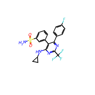 NS(=O)(=O)c1cccc(-c2c(NC3CC3)nc(C(F)(F)F)nc2-c2ccc(F)cc2)c1